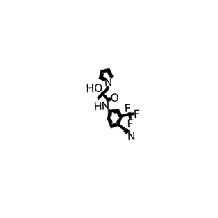 CC(O)(Cn1cccc1)C(=O)Nc1ccc(C#N)c(C(F)(F)F)c1